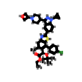 CCOC(=O)[C@@H](OC(C)(C)C)c1c(C)cc2nc(-c3ccc4c(c3)c(C3CCN(C5COC5)CC3)nn4C3CC3)sc2c1-c1ccc(Cl)cc1